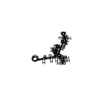 CCC(C)C(C(CC(=O)N1CCCC1C(OC)C(C)C(=O)NC(C)C(O)c1ccccc1)OC)N(C)C(=O)C(NC(=O)C(C(C)C)N(C)C(=O)OCc1ccc(O[C@H]2O[C@H](C(=O)O)[C@@H](O)[C@H](O)[C@H]2O)c(NC(=O)CCNC(=O)CCCC(=O)NCCCCC2CCCCCCCCC2)c1)C(C)C